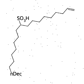 C=CCCCCCCCC(CCCCCCCCCCCCCCCCC)S(=O)(=O)O